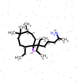 CCC1CCC(C)(C)[C@@H](C)CCC1(I)C(CC)(CC)CCCC(C)N